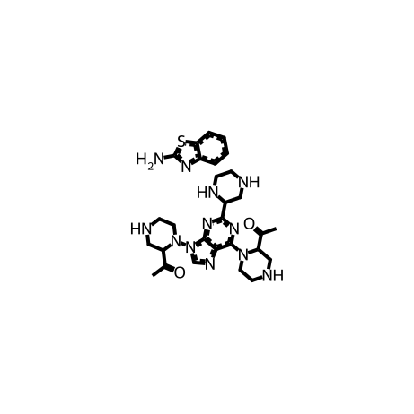 CC(=O)C1CNCCN1c1nc(C2CNCCN2)nc2c1ncn2N1CCNCC1C(C)=O.Nc1nc2ccccc2s1